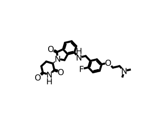 CN(C)CCOc1ccc(F)c(CNc2cccc3c2CN([C@H]2CCC(=O)NC2=O)C3=O)c1